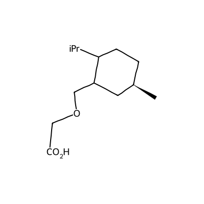 CC(C)C1CC[C@@H](C)CC1COCC(=O)O